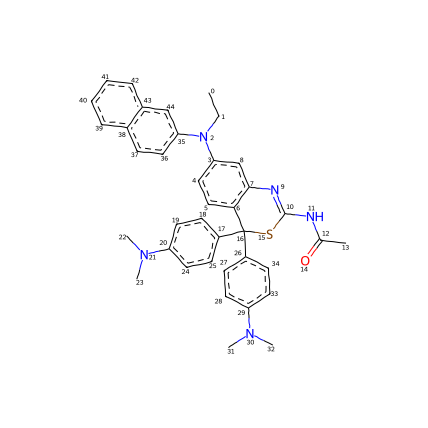 CCN(c1ccc2c(c1)N=C(NC(C)=O)SC2(c1ccc(N(C)C)cc1)c1ccc(N(C)C)cc1)c1ccc2ccccc2c1